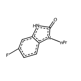 CCCn1c(=O)[nH]c2cc(F)ccc21